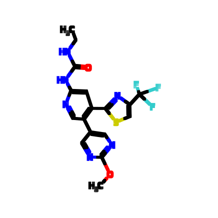 CCNC(=O)Nc1cc(-c2nc(C(F)(F)F)cs2)c(-c2cnc(OC)nc2)cn1